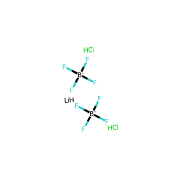 Cl.Cl.F[B-](F)(F)F.F[B-](F)(F)F.[LiH]